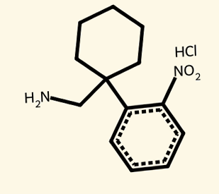 Cl.NCC1(c2ccccc2[N+](=O)[O-])CCCCC1